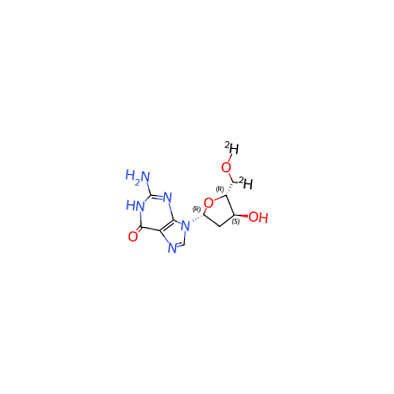 [2H]OC([2H])[C@H]1O[C@@H](n2cnc3c(=O)[nH]c(N)nc32)C[C@@H]1O